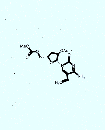 C=Cc1cn([C@@H]2O[C@H](COC(=O)OC)C[C@H]2OC(C)=O)c(=O)nc1N